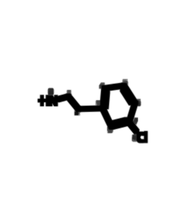 [NH]CCc1cccc(Cl)c1